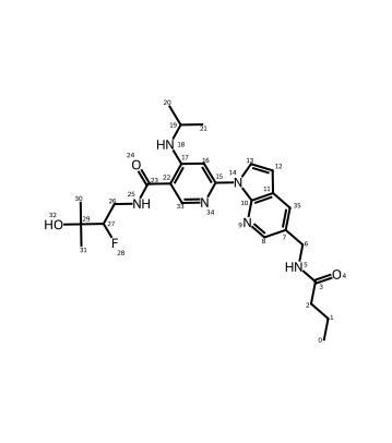 CCCC(=O)NCc1cnc2c(ccn2-c2cc(NC(C)C)c(C(=O)NCC(F)C(C)(C)O)cn2)c1